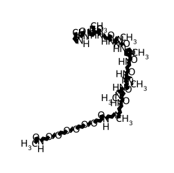 CC(=O)NCCOCCOCCOCCOCCOCCOCCC(=O)NCCCN(C)CCCNC(=O)c1cc(NC(=O)c2nc(NC(=O)CCNC(=O)c3cc(NC(=O)c4nc(NC(=O)CCNC(=O)c5cc(NC(=O)c6nccn6C)cn5C)cn4C)cn3C)cn2C)cn1C